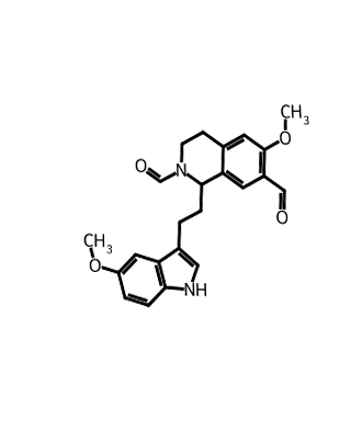 COc1ccc2[nH]cc(CCC3c4cc(C=O)c(OC)cc4CCN3C=O)c2c1